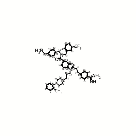 Cc1ccccc1N1CCN(CCCn2c(CCc3ccc(C(=N)N)cc3)nc3cc(C(=O)N(Cc4ccc(CN)cc4)Cc4cccc(C(F)(F)F)c4)ccc32)CC1